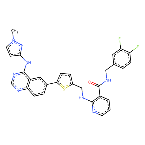 Cn1ccc(Nc2ncnc3ccc(-c4ccc(CNc5ncccc5C(=O)NCc5ccc(F)c(F)c5)s4)cc23)n1